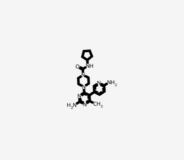 Cc1nc(N)nc(N2CCN(C(=O)NC3CCCC3)CC2)c1-c1ccc(N)nc1